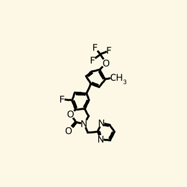 Cc1cc(-c2cc(F)c3c(c2)CN(Cc2ncccn2)C(=O)O3)ccc1OC(F)(F)F